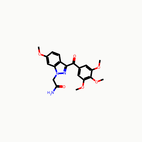 COc1ccc2c(C(=O)c3cc(OC)c(OC)c(OC)c3)nn(CC(N)=O)c2c1